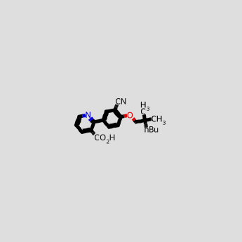 CCCCC(C)(C)COc1ccc(-c2ncccc2C(=O)O)cc1C#N